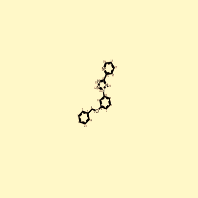 c1ccc(COc2cccc(-n3nnc(-c4ccccn4)n3)c2)cc1